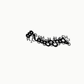 C=C(COC(=O)c1cccc2cc3ccccc3cc12)CC1CC(O)C2OC3CC4(C)OC5/C=C\CC6OC7C(C)CC8OC9(C)CC(C)CC%10OC(=O)CC%10OC9CC8OC7C/C=C\CC6OC5CCCC4OC3CC2O1